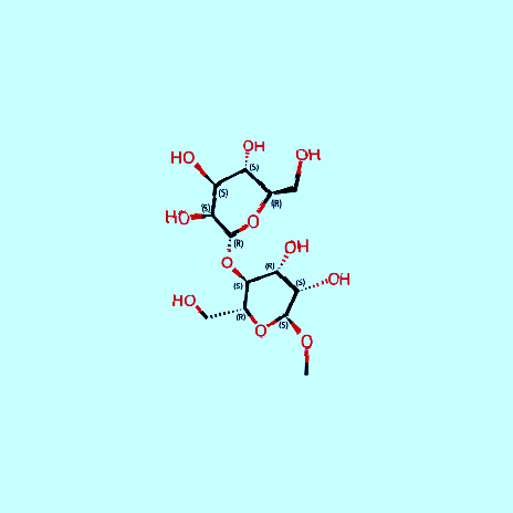 CO[C@H]1O[C@H](CO)[C@@H](O[C@H]2O[C@H](CO)[C@@H](O)[C@H](O)[C@@H]2O)[C@H](O)[C@@H]1O